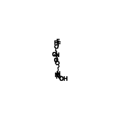 OCc1cn(CCCCc2ccc(OCc3coc(/C=C/c4ccc(C(F)(F)F)cc4)n3)cc2)nn1